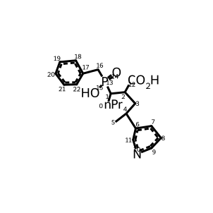 CCCC(C(CC(C)c1cccnc1)C(=O)O)P(=O)(O)Cc1ccccc1